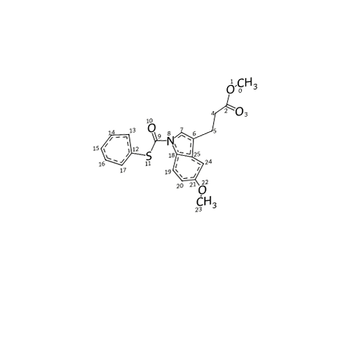 COC(=O)CCc1cn(C(=O)Sc2ccccc2)c2ccc(OC)cc12